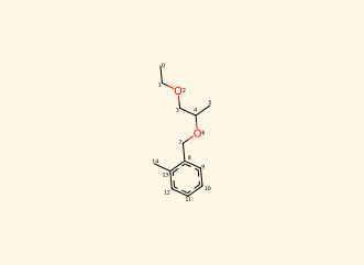 CCOCC(C)OCc1ccccc1C